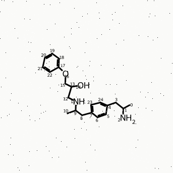 CC(N)Cc1ccc(CC(C)NCC(O)COc2ccccc2)cc1